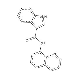 O=C(Nc1cccc2cccnc12)c1c[nH]c2ccccc12